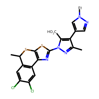 CCn1cc(-c2c(C)nn(-c3nc4c(s3)SC(C)c3cc(Cl)c(Cl)cc3-4)c2C(=O)O)cn1